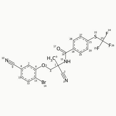 CC(C#N)(COc1cc(C#N)ccc1Br)NC(=O)c1ccc(SC(F)(F)F)cc1